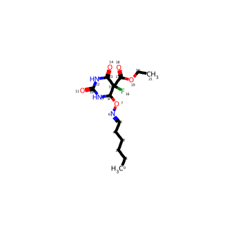 CCCCCC=NOC1NC(=O)NC(=O)C1(F)C(=O)OCC